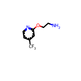 NCCOc1cc(C(F)(F)F)ccn1